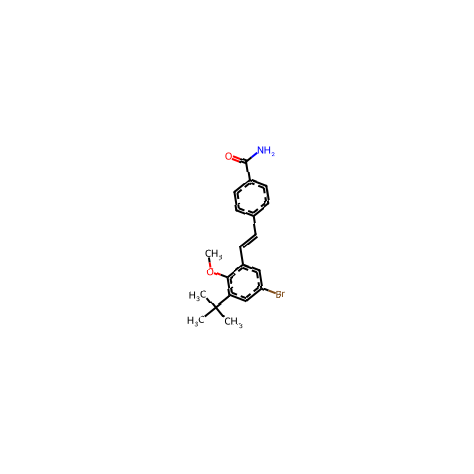 COc1c(C=Cc2ccc(C(N)=O)cc2)cc(Br)cc1C(C)(C)C